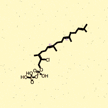 CC(C)=CCC/C(C)=C/CC/C(C)=C/CCC(C)=C(Cl)COP(=O)(O)OP(=O)(O)O